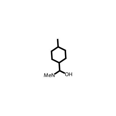 CNC(O)C1CCC(C)CC1